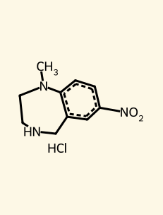 CN1CCNCc2cc([N+](=O)[O-])ccc21.Cl